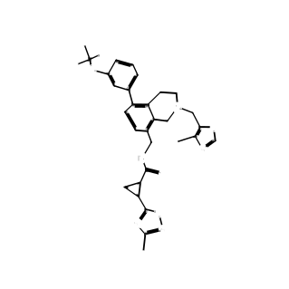 Cc1noc(C2CC2C(=O)NCc2ccc(-c3cccc(OC(F)(F)F)c3)c3c2CN(Cc2scnc2C)CC3)n1